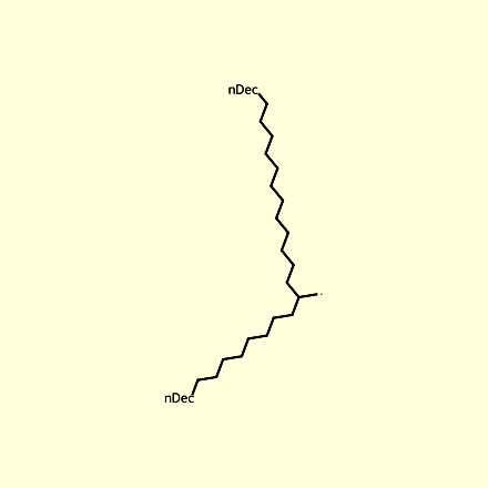 [CH2]C(CCCCCCCCCCCCCCCCCC)CCCCCCCCCCCCCCCCCCCCCC